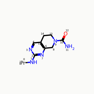 CC(C)Nc1ncc2c(n1)CN(C(N)=O)CC2